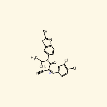 CC(C)N(C(=O)/C(C#N)=C\c1ccc(Cl)c(Cl)c1)c1ccc2nc(S)sc2c1